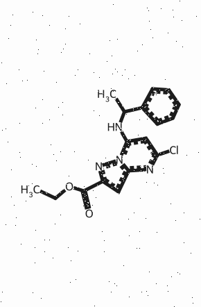 CCOC(=O)c1cc2nc(Cl)cc(NC(C)c3ccccc3)n2n1